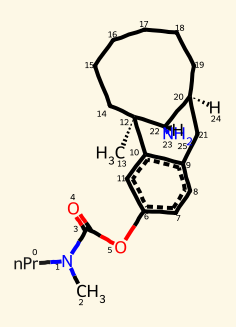 CCCN(C)C(=O)Oc1ccc2c(c1)[C@@]1(C)CCCCCC[C@@H](C2)[C@@H]1N